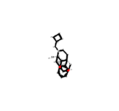 O[C@@]12CCCC[C@@]13CCN(CC1CCC1)[C@@H]2Cc1ccccc13